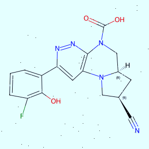 N#C[C@@H]1C[C@@H]2CN(C(=O)O)c3nnc(-c4cccc(F)c4O)cc3N2C1